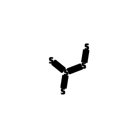 S=S=S(=S)=S